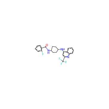 O=C(NC1CCC(Nc2cc(C(F)(F)F)nc3ccccc23)CC1)c1ccccc1F